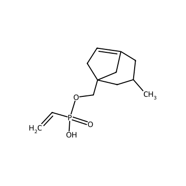 C=CP(=O)(O)OCC12CC=C(CC(C)C1)C2